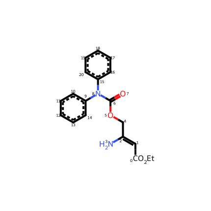 CCOC(=O)C=C(N)COC(=O)N(c1ccccc1)c1ccccc1